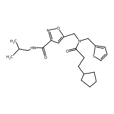 CC(C)CNC(=O)c1cc(CN(Cc2cccs2)C(=O)CCC2CCCC2)on1